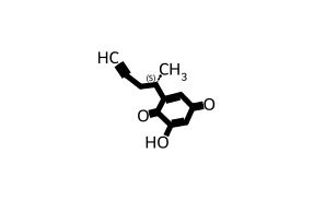 C#CC[C@H](C)C1=CC(=O)C=C(O)C1=O